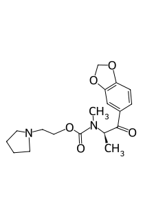 C[C@H](C(=O)c1ccc2c(c1)OCO2)N(C)C(=O)OCCN1CCCC1